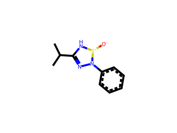 CC(C)C1=NN(c2ccccc2)[S+]([O-])N1